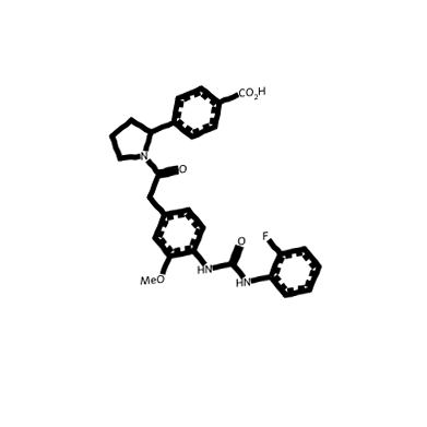 COc1cc(CC(=O)N2CCCC2c2ccc(C(=O)O)cc2)ccc1NC(=O)Nc1ccccc1F